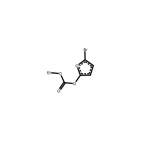 CCOC(=O)Oc1ccc(Br)o1